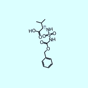 CC(C)[C@H](NS(=O)(=O)NC(=O)OCc1ccccc1)C(=O)O